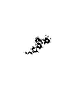 Cc1cccc(Cl)c1Nc1nc2ccc(N3CCN(CCO)CC3)nc2n2cncc12